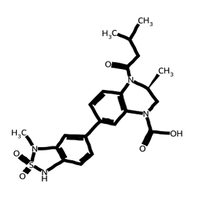 CC(C)CC(=O)N1c2ccc(-c3ccc4c(c3)N(C)S(=O)(=O)N4)cc2N(C(=O)O)C[C@@H]1C